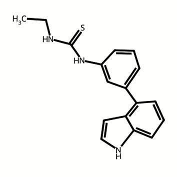 CCNC(=S)Nc1cccc(-c2cccc3[nH]ccc23)c1